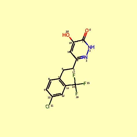 O=c1[nH]nc(CCc2ccc(Cl)cc2C(F)(F)F)cc1O